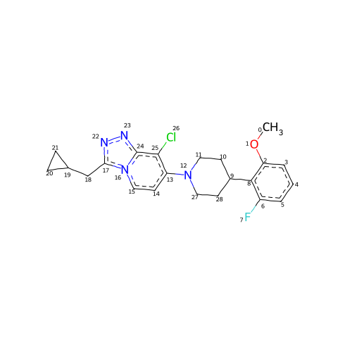 COc1cccc(F)c1C1CCN(c2ccn3c(CC4CC4)nnc3c2Cl)CC1